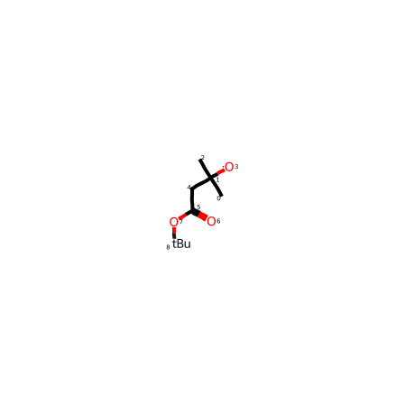 CC(C)([O])CC(=O)OC(C)(C)C